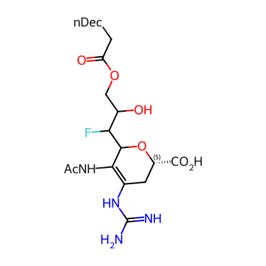 CCCCCCCCCCCC(=O)OCC(O)C(F)C1O[C@H](C(=O)O)CC(NC(=N)N)=C1NC(C)=O